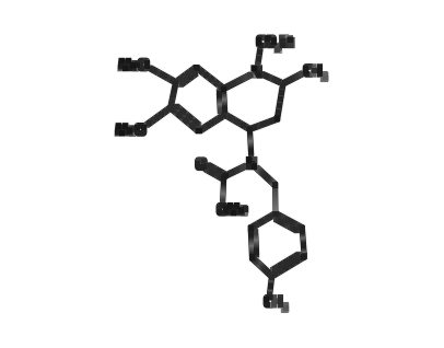 CCOC(=O)N1c2cc(OC)c(OC)cc2C(N(Cc2ccc(C)cc2)C(=O)OC)CC1C